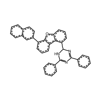 c1ccc(C2=NC(c3cccc4oc5c(-c6ccc7ccccc7c6)cccc5c34)NC(c3ccccc3)=N2)cc1